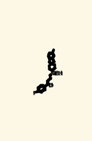 Cc1ccc2c(c1)CC1(CCC(NCCCC(=O)c3ccc(F)cc3)CC1)C2.Cl